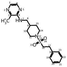 Cc1nccnc1NCC1CCN(S(=O)(=O)CCc2ccccc2)CC1